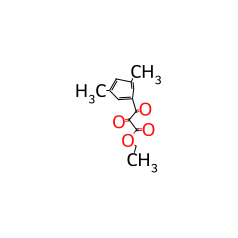 CCOC(=O)C(=O)C(=O)c1cc(C)cc(C)c1